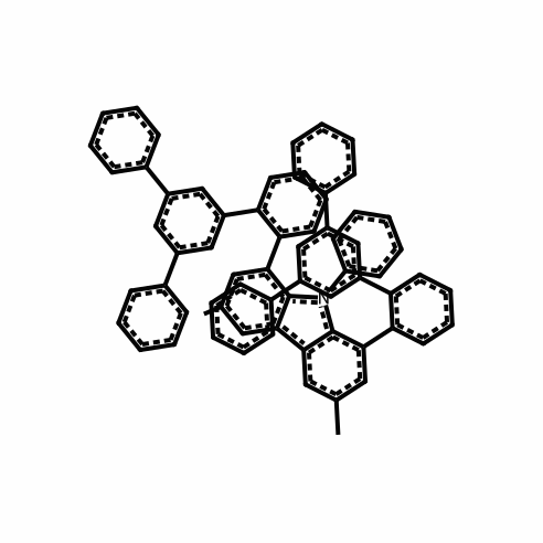 Cc1cc(-c2ccccc2-c2cc(-c3ccccc3)cc(-c3ccccc3)c2)c2c(c1)c1cc(C)cc(-c3ccccc3-c3cc(-c4ccccc4)cc(-c4ccccc4)c3)c1n2-c1ccccc1